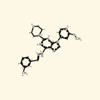 COc1cc(-n2cnc3c(NN=Cc4cccc(C)c4)nc(N4CCOCC4)nc32)ccn1